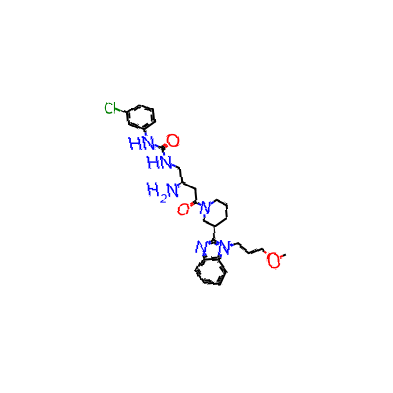 COCCCn1c([C@@H]2CCCN(C(=O)C[C@@H](N)CNC(=O)Nc3cccc(Cl)c3)C2)nc2ccccc21